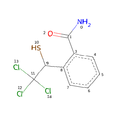 NC(=O)c1ccccc1C(S)C(Cl)(Cl)Cl